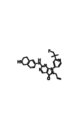 C=CCn1c(=O)c2cnc(Nc3ccc4c(c3)CCNC4)nc2n1-c1ccnc(C(C)(C)CF)c1